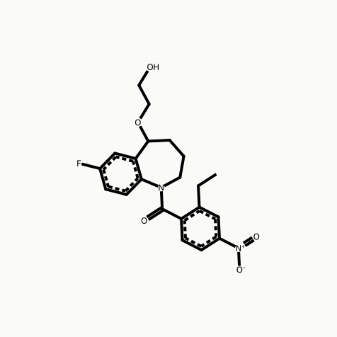 CCc1cc([N+](=O)[O-])ccc1C(=O)N1CCCC(OCCO)c2cc(F)ccc21